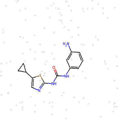 Nc1cccc(NC(=O)Nc2ncc(C3CC3)s2)c1